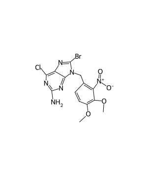 COc1ccc(Cn2c(Br)nc3c(Cl)nc(N)nc32)c([N+](=O)[O-])c1OC